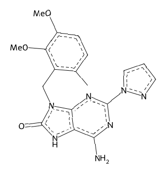 COc1ccc(C)c(Cn2c(=O)[nH]c3c(N)nc(-n4cccn4)nc32)c1OC